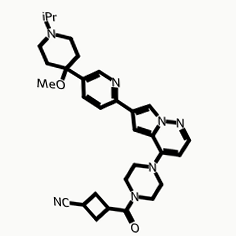 COC1(c2ccc(-c3cc4c(N5CCN(C(=O)C6CC(C#N)C6)CC5)ccnn4c3)nc2)CCN(C(C)C)CC1